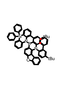 CC(C)(C)c1ccc(N2c3cc(C(C)(C)C)cc4c3B(c3ccc5oc6ccccc6c5c32)N2c3ccccc3[Si](c3ccccc3)(c3ccccc3)c3cccc-4c32)c(-c2ccccc2)c1